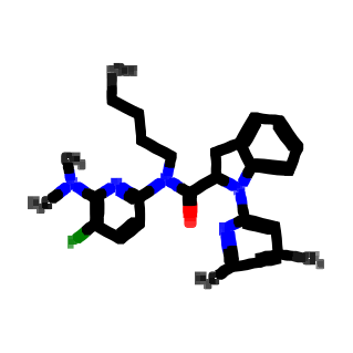 CCCCCCCCCCCCCCN(C(=O)C1Cc2ccccc2N1c1cc(C(F)(F)F)cc(C)n1)c1ccc(F)c(N(C)C)n1